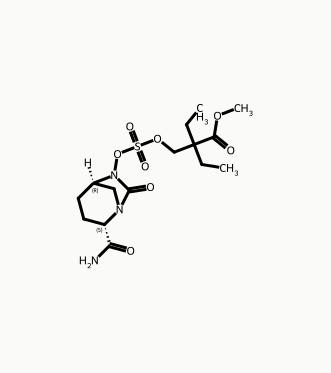 CCC(CC)(COS(=O)(=O)ON1C(=O)N2C[C@H]1CC[C@H]2C(N)=O)C(=O)OC